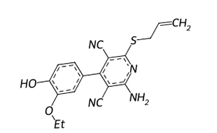 C=CCSc1nc(N)c(C#N)c(-c2ccc(O)c(OCC)c2)c1C#N